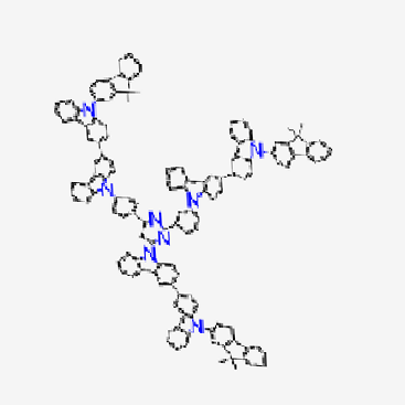 CC1(C)c2ccccc2-c2ccc(-n3c4ccccc4c4cc(-c5ccc6c(c5)c5ccccc5n6-c5ccc(-c6cc(-n7c8ccccc8c8cc(-c9ccc%10c(c9)c9ccccc9n%10-c9ccc%10c(c9)C(C)(C)c9ccccc9-%10)ccc87)nc(-c7cccc(-n8c9ccccc9c9cc(-c%10ccc%11c(c%10)c%10ccccc%10n%11-c%10ccc%11c(c%10)C(C)(C)c%10ccccc%10-%11)ccc98)c7)n6)cc5)ccc43)cc21